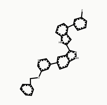 Fc1cccc(-c2cccc3[nH]c(-c4n[nH]c5ccc(-c6cncc(OCc7ccccc7)c6)cc45)cc23)c1